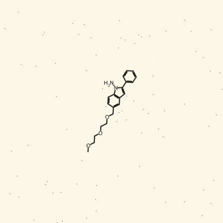 COCCOCCOCc1ccc2c(c1)cc(-c1ccccc1)n2N